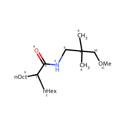 CCCCCCCCC(CCCCCC)C(=O)NCC(C)(C)COC